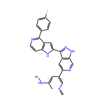 C=N/C=C(\C=C(/C)NC(C)C)c1cc2c(-c3cc4c(-c5ccc(F)cc5)nccc4[nH]3)n[nH]c2cn1